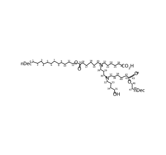 CCCCCCCCCCCCCCCCCCCCCCOC(=O)CCCCCN(CCCCCC(=O)O)CCCN(CCCCO)CCCCCC(=C=O)OCCCCCCCCCCCC